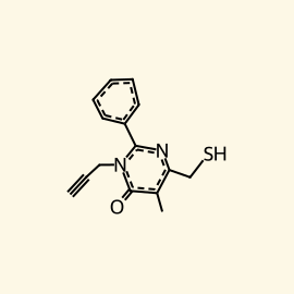 C#CCn1c(-c2ccccc2)nc(CS)c(C)c1=O